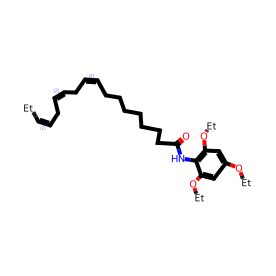 CC/C=C\C/C=C\C/C=C\CCCCCCCC(=O)Nc1c(OCC)cc(OCC)cc1OCC